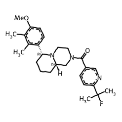 COc1ccc([C@H]2CCC[C@H]3CN(C(=O)c4ccc(C(C)(C)F)nc4)CCN32)c(C)c1C